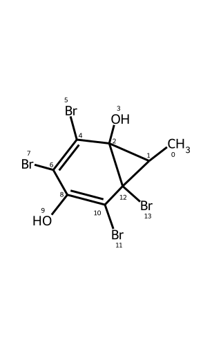 CC1C2(O)C(Br)=C(Br)C(O)=C(Br)C12Br